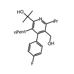 CCCCCc1c(C(C)(C)O)nc(C(C)C)c(CO)c1-c1ccc(F)cc1